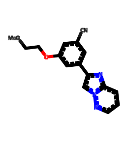 COCCOc1cc(C#N)cc(-c2cn3ncccc3n2)c1